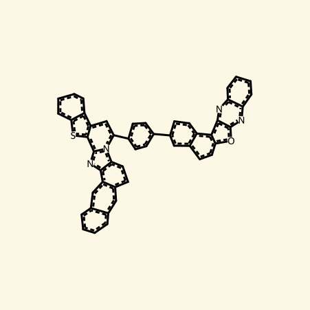 c1ccc2cc3c(ccc4c3nc3c5sc6ccccc6c5cc(-c5ccc(-c6ccc7c(ccc8oc9nc%10ccccc%10nc9c87)c6)cc5)n43)cc2c1